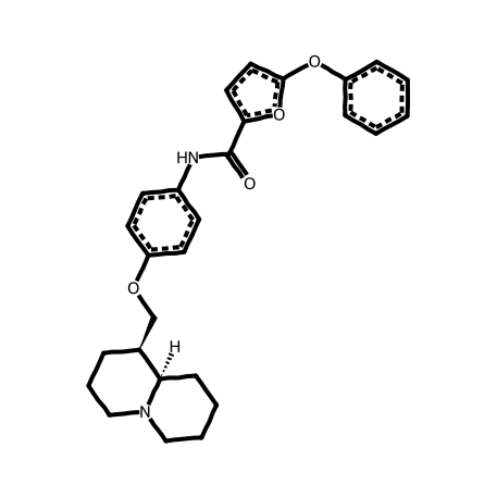 O=C(Nc1ccc(OC[C@@H]2CCCN3CCCC[C@H]23)cc1)c1ccc(Oc2ccccc2)o1